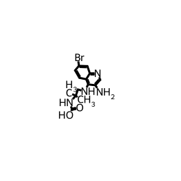 CC(C)(CNc1c(N)cnc2cc(Br)ccc12)NC(=O)O